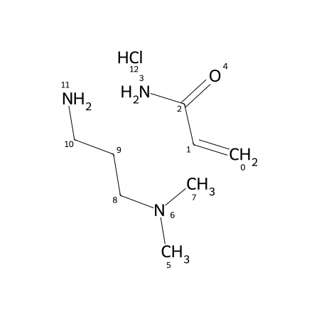 C=CC(N)=O.CN(C)CCCN.Cl